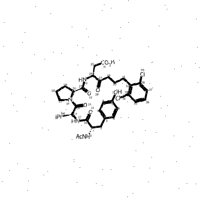 CC(=O)N[C@@H](Cc1ccc(O)cc1)C(=O)N[C@H](C(=O)N1CCC[C@H]1C(=O)N[C@@H](CC(=O)O)C(=O)CCCc1c(Cl)cccc1Cl)C(C)C